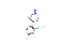 C[C@@H]1CNCC[C@@H]1c1ccc(F)cc1F.Cl